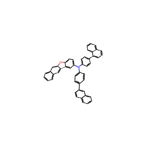 c1ccc2cc(-c3ccc(N(c4ccc(-c5cccc6ccccc56)cc4)c4ccc5oc6cc7ccccc7cc6c5c4)cc3)ccc2c1